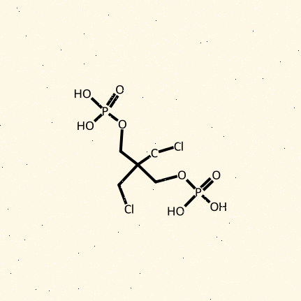 O=P(O)(O)OCC(CCl)(CCl)COP(=O)(O)O